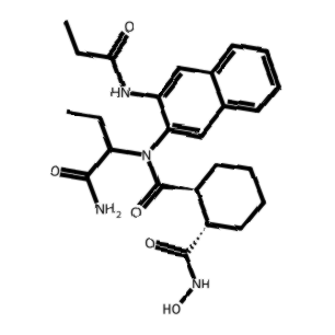 CCC(=O)Nc1cc2ccccc2cc1N(C(=O)[C@H]1CCCC[C@@H]1C(=O)NO)C(CC)C(N)=O